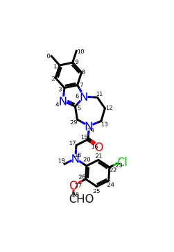 Cc1cc2nc3n(c2cc1C)CCCN(C(=O)CN(C)c1cc(Cl)ccc1OC=O)C3